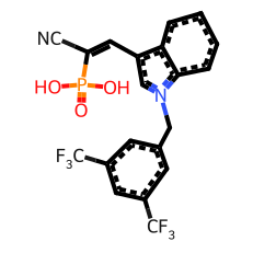 N#CC(=Cc1cn(Cc2cc(C(F)(F)F)cc(C(F)(F)F)c2)c2ccccc12)P(=O)(O)O